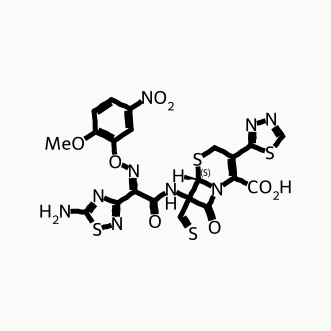 COc1ccc([N+](=O)[O-])cc1ON=C(C(=O)NC1(C=S)C(=O)N2C(C(=O)O)=C(c3nncs3)CS[C@H]21)c1nsc(N)n1